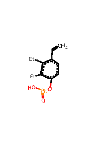 C=Cc1ccc(O[PH](=O)O)c(CC)c1CC